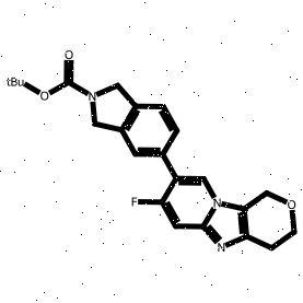 CC(C)(C)OC(=O)N1Cc2ccc(-c3cn4c5c(nc4cc3F)CCOC5)cc2C1